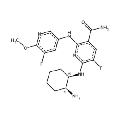 COc1ncc(Nc2nc(N[C@@H]3CCCC[C@@H]3N)c(F)cc2C(N)=O)cc1F